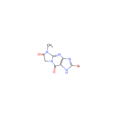 CN1C(=O)Cn2c1nc1nc(Br)[nH]c1c2=O